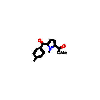 COC(=O)c1ccc(C(=O)c2ccc(C)cc2)n1C